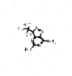 Cc1nc(N)c2c(n1)C(C(C)(C)C)N=N2